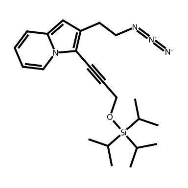 CC(C)[Si](OCC#Cc1c(CCN=[N+]=[N-])cc2ccccn12)(C(C)C)C(C)C